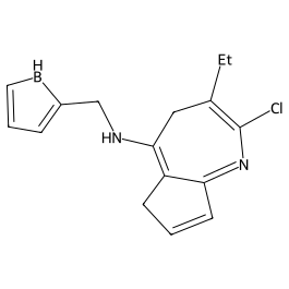 CCC1=C(Cl)N=C2C=CCC2=C(NCC2=CC=CB2)C1